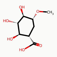 CO[C@@H]1C[C@H](C(=O)O)[C@@H](O)[C@H](O)[C@H]1O